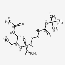 COP(=O)(OCCNC(=O)OC(C)(C)C)OC(CO)COC(C)=O